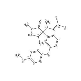 COC(=O)C(c1cccc(Oc2ccc(OC)cc2)n1)(C(C)C)C(C)C=C(Cl)Cl